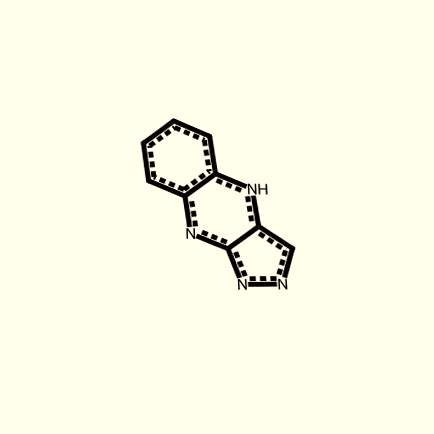 c1ccc2[nH]c3cnnc-3nc2c1